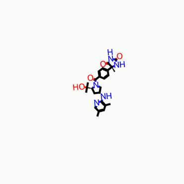 Cc1cnc(N[C@H]2C[C@@H](C(C)(C)O)N(C(=O)c3ccc([C@@]4(C)NC(=O)NC4=O)cc3)C2)c(C)c1